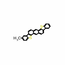 Cc1ccc2sc3c4cc5ccc6c7ccccc7sc6c5cc4ccc3c2c1